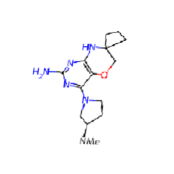 CN[C@@H]1CCN(c2nc(N)nc3c2OCC2(CCC2)N3)C1